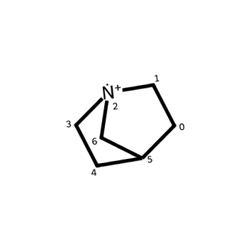 C1C[N+]2CCC1C2